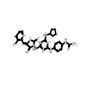 CC(=O)Nc1ccc(Nc2nc(NC3CCCC3)nc(NN3C(=O)/C(=C/c4ncccc4Cl)SC3=S)n2)cc1